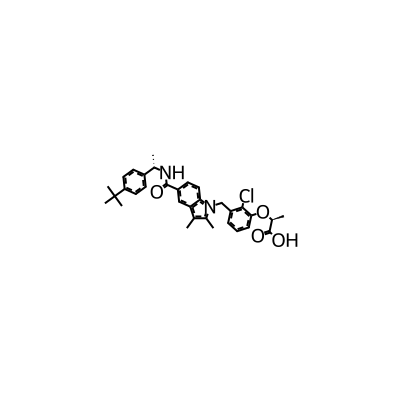 Cc1c(C)n(Cc2cccc(O[C@@H](C)C(=O)O)c2Cl)c2ccc(C(=O)N[C@@H](C)c3ccc(C(C)(C)C)cc3)cc12